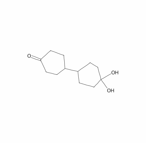 O=C1CCC(C2CCC(O)(O)CC2)CC1